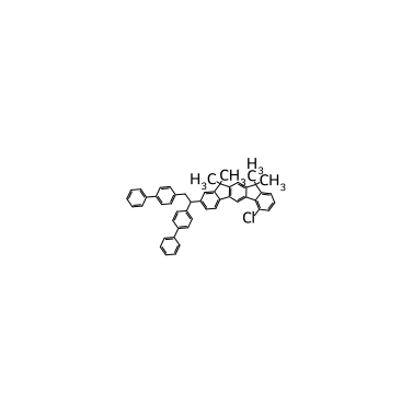 CC1(C)c2cc(C(Cc3ccc(-c4ccccc4)cc3)c3ccc(-c4ccccc4)cc3)ccc2-c2cc3c(cc21)C(C)(C)c1cccc(Cl)c1-3